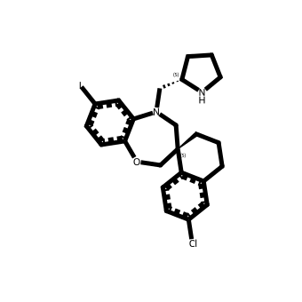 Clc1ccc2c(c1)CCC[C@]21COc2ccc(I)cc2N(C[C@@H]2CCCN2)C1